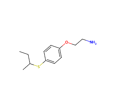 CCC(C)Sc1ccc(OCCN)cc1